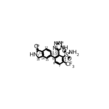 NS(=O)(=O)c1c(C(F)(F)F)ccc(-c2ccc3c(c2)CNC3=O)c1-c1nnn[nH]1